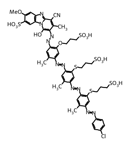 COc1cc2nc3c(C#N)c(C)c(N=Nc4cc(C)c(N=Nc5cc(C)c(N=Nc6cc(C)c(N=Nc7ccc(Cl)cc7)cc6SCCCS(=O)(=O)O)cc5SCCCS(=O)(=O)O)cc4OCCCS(=O)(=O)O)c(O)n3c2cc1S(=O)(=O)O